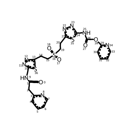 O=C(Cc1ccccn1)Nc1nnc(CCS(=O)(=O)CCc2nnc(NC(=O)Oc3ccccn3)s2)s1